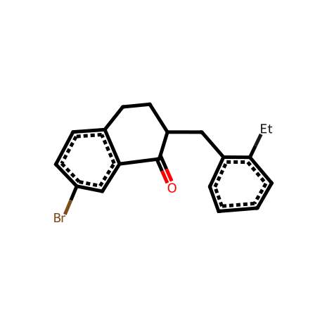 CCc1ccccc1CC1CCc2ccc(Br)cc2C1=O